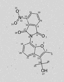 Cc1oc2c(N3C(=O)c4cccc([N+](=O)[O-])c4C3=O)cccc2c1C(C)(C)O